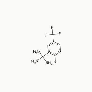 BC(B)(N)c1cc(C(F)(F)F)ccc1F